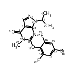 CC(C)n1ncc2c(=O)n(C)c(Oc3c(F)cc(Br)cc3F)nc21